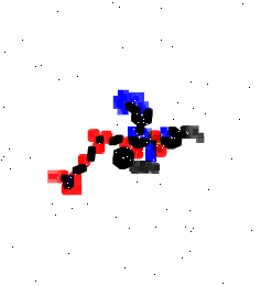 COc1ccccc1Oc1c(NS(=O)(=O)c2ccc(C)cn2)nc(-c2ccnc(-c3nnn[nH]3)c2)nc1OCCOC(=O)OCCOCCON(O)O